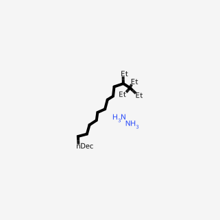 CCCCCCCCCCCCCCCCCCCC(CC)C(CC)(CC)CC.N.N